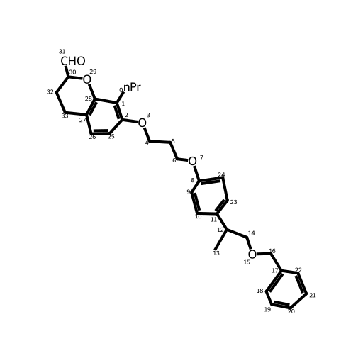 CCCc1c(OCCCOc2ccc(C(C)COCc3ccccc3)cc2)ccc2c1OC(C=O)CC2